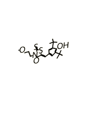 COCCCN1C(=O)C(=Cc2cc(C(C)(C)C)c(O)c(C(C)(C)C)c2)SC1=S